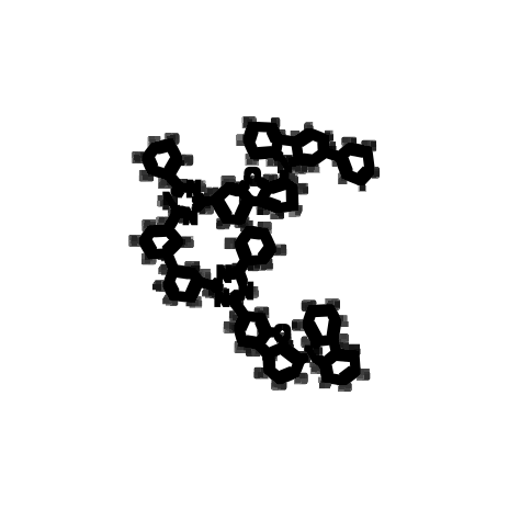 c1ccc(-c2ccc3c4ccccc4n(-c4cccc5c4oc4cc(-c6nc(-c7ccccc7)nc(-c7cccc(-c8cccc(-c9nc(-c%10ccccc%10)nc(-c%10ccc%11c(c%10)oc%10c(-n%12c%13ccccc%13c%13ccccc%13%12)cccc%10%11)n9)c8)c7)n6)ccc45)c3c2)cc1